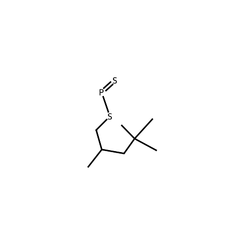 CC(CSP=S)CC(C)(C)C